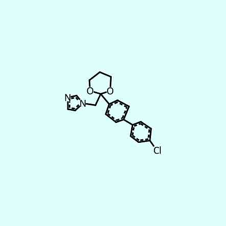 Clc1ccc(-c2ccc(C3(Cn4ccnc4)OCCCO3)cc2)cc1